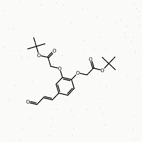 CC(C)(C)OC(=O)COc1ccc(C=CC=O)cc1OCC(=O)OC(C)(C)C